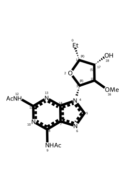 CC[C@H]1O[C@@H](n2cnc3c(NC(C)=O)nc(NC(C)=O)nc32)C(OC)[C@H]1O